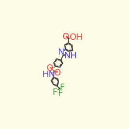 O=C(O)c1ccc2[nH]c(-c3ccc(S(=O)(=O)Nc4ccc(C(F)(F)F)cc4)cc3)nc2c1